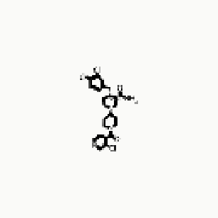 NC(=O)[C@@H]1CN(C2CCN(C(=O)c3ccncc3Cl)CC2)CC[C@@H]1Cc1ccc(Cl)c(Cl)c1